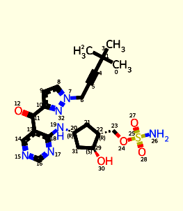 CC(C)(C)C#CCn1ccc(C(=O)c2cncnc2N[C@@H]2C[C@H](COS(N)(=O)=O)[C@@H](O)C2)n1